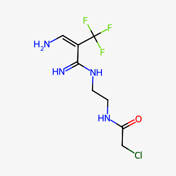 N=C(NCCNC(=O)CCl)/C(=C\N)C(F)(F)F